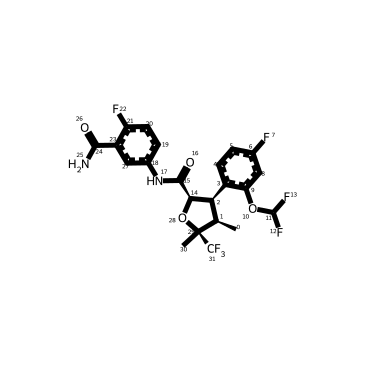 C[C@@H]1[C@H](c2ccc(F)cc2OC(F)F)[C@H](C(=O)Nc2ccc(F)c(C(N)=O)c2)O[C@]1(C)C(F)(F)F